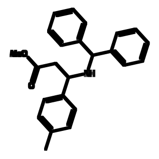 COC(=O)CC(NC(c1ccccc1)c1ccccc1)c1ccc(C)cc1